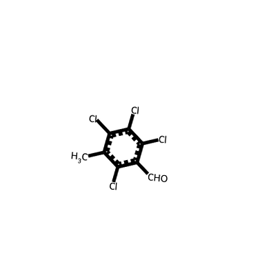 Cc1c(Cl)c(Cl)c(Cl)c(C=O)c1Cl